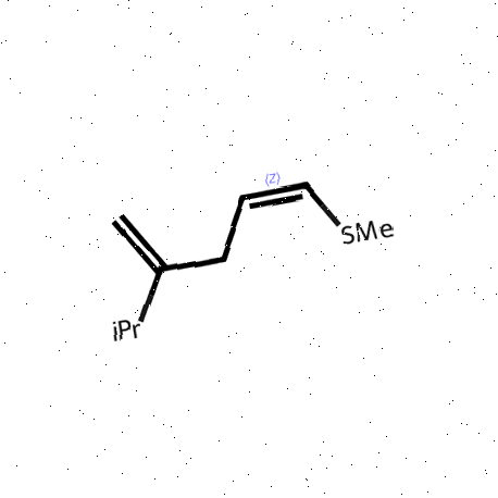 C=C(C/C=C\SC)C(C)C